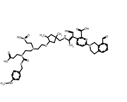 CNc1ccc(COC(=O)N(CCC(=O)O)CCN(CCOC2CC(C)(CN/C(C)=C(\C=N)c3ccc(N4CCc5cccc(C=O)c5C4)nc3C(=O)O)CC2C)CCS(=O)O)cc1